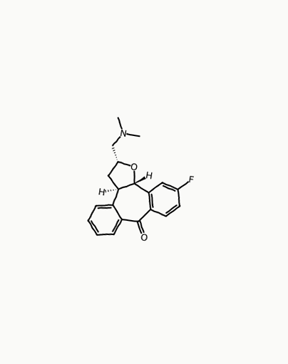 CN(C)C[C@H]1C[C@@H]2c3ccccc3C(=O)c3ccc(F)cc3[C@H]2O1